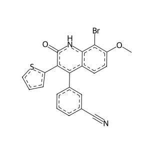 COc1ccc2c(-c3cccc(C#N)c3)c(-c3cccs3)c(=O)[nH]c2c1Br